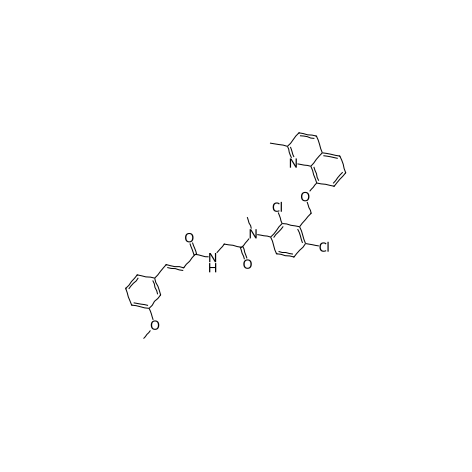 COc1cccc(C=CC(=O)NCC(=O)N(C)c2ccc(Cl)c(COc3cccc4ccc(C)nc34)c2Cl)c1